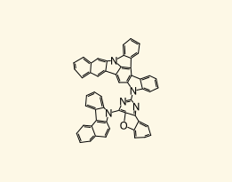 c1ccc2cc3c(cc2c1)c1cc2c(c4ccccc4n2-c2nc(-n4c5ccccc5c5c6ccccc6ccc54)c4oc5ccccc5c4n2)c2c4ccccc4n3c12